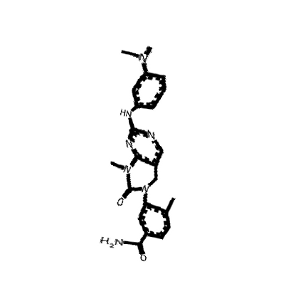 Cc1ccc(C(N)=O)cc1N1Cc2cnc(Nc3cccc(N(C)C)c3)nc2N(C)C1=O